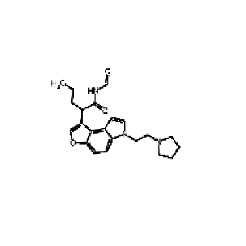 CCCC(C(=O)NC=O)c1coc2ccc3c(ccn3CCN3CCCC3)c12